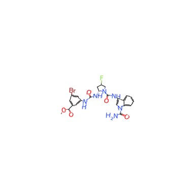 COC(=O)c1cc(Br)cc(NC(=O)N[C@@H]2C[C@@H](F)CN2C(=O)Nc2cn(C(N)=O)c3ccccc23)c1